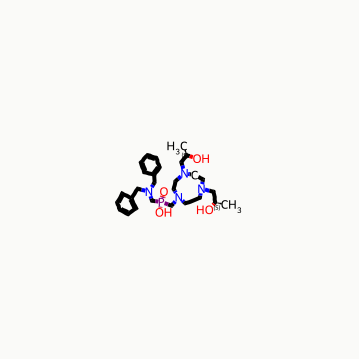 C[C@H](O)CN1CCN(C[C@H](C)O)CCN(CP(=O)(O)CN(Cc2ccccc2)Cc2ccccc2)CC1